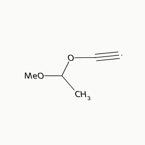 [C]#COC(C)OC